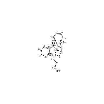 CCOCC[C@]12CC3[C@]4(CC)c5ccccc5C(C)(c5ccccc51)[N+]324